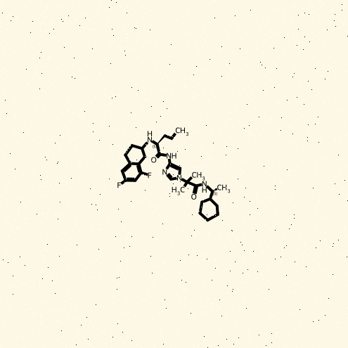 CCC[C@H](NC1CCc2cc(F)cc(F)c2C1)C(=O)Nc1cn(C(C)(C)C(=O)N[C@@H](C)C2CCCCC2)cn1